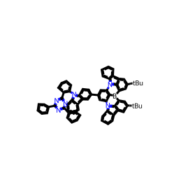 CC(C)(C)c1cc2c3c(c1)c1ccccc1n3-c1cc(-c3ccc4c(c3)c3ccccc3n4-c3ccccc3-c3nc(-c4ccccc4)nc(-c4ccccc4)n3)cc3c1B2c1cc(C(C)(C)C)cc2c4ccccc4n-3c12